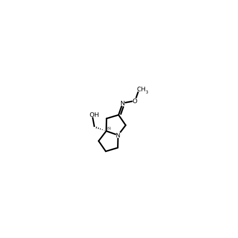 CON=C1CN2CCC[C@@]2(CO)C1